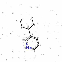 CC[C](CC)c1cccnc1